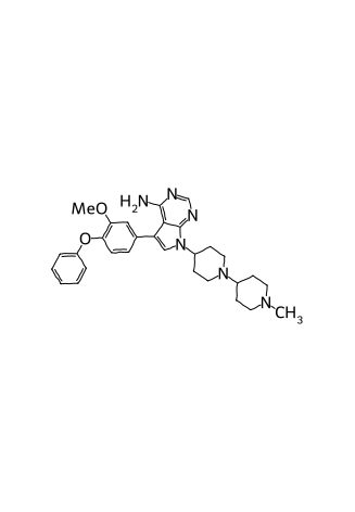 COc1cc(-c2cn(C3CCN(C4CCN(C)CC4)CC3)c3ncnc(N)c23)ccc1Oc1ccccc1